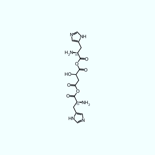 N[C@@H](Cc1cnc[nH]1)C(=O)OC(=O)CC(O)C(=O)OC(=O)[C@@H](N)Cc1cnc[nH]1